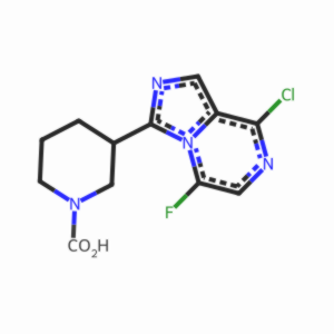 O=C(O)N1CCCC(c2ncc3c(Cl)ncc(F)n23)C1